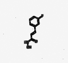 O=C(C=Cc1cccc(F)c1)NO